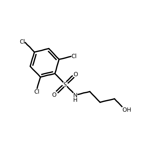 O=S(=O)(NCCCO)c1c(Cl)cc(Cl)cc1Cl